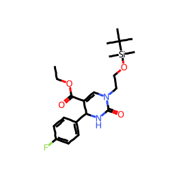 CCOC(=O)C1=CN(CCO[Si](C)(C)C(C)(C)C)C(=O)NC1c1ccc(F)cc1